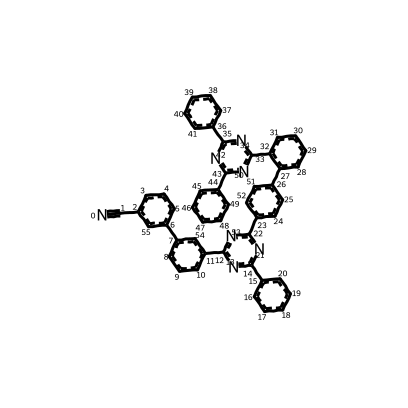 N#Cc1cccc(-c2cccc(-c3nc(-c4ccccc4)nc(-c4ccc(-c5ccccc5-c5nc(-c6ccccc6)nc(-c6ccccc6)n5)cc4)n3)c2)c1